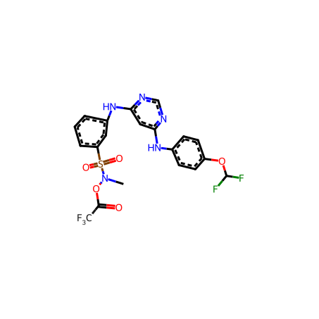 CN(OC(=O)C(F)(F)F)S(=O)(=O)c1cccc(Nc2cc(Nc3ccc(OC(F)F)cc3)ncn2)c1